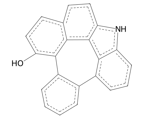 Oc1ccc2ccc3[nH]c4cccc5c4c3c2c1-c1ccccc1-5